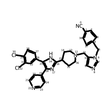 N#Cc1ccc(Cn2cncc2CN2CCC(c3nc(-c4ccncc4)c(-c4ccc(Cl)c(Cl)c4)[nH]3)CC2)cc1